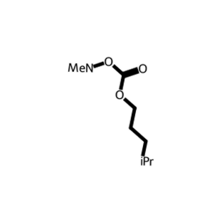 CNOC(=O)OCCCC(C)C